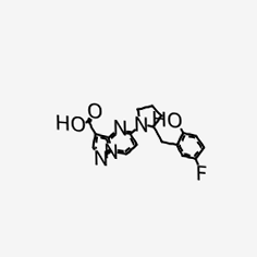 O=C(O)c1cnn2ccc(N3CCCC3Cc3cc(F)ccc3O)nc12